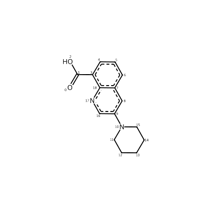 O=C(O)c1cccc2cc(N3CCCCC3)cnc12